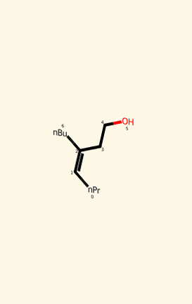 CCCC=C(CCO)CCCC